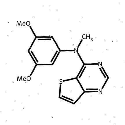 COc1cc(OC)cc(N(C)c2ncnc3ccsc23)c1